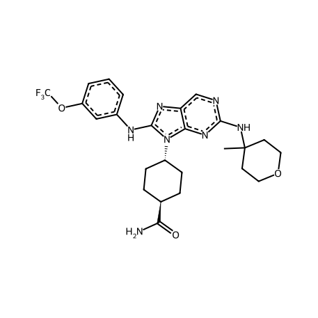 CC1(Nc2ncc3nc(Nc4cccc(OC(F)(F)F)c4)n([C@H]4CC[C@H](C(N)=O)CC4)c3n2)CCOCC1